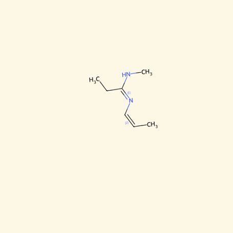 C/C=C\N=C(/CC)NC